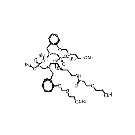 COCCOCOc1ccccc1CN(C[C@H](CCCCNC(=O)CCOCCO)N(Cc1ccccc1OCOCCOC)CP(=O)(OC(C)(C)C)OC(C)(C)C)CP(=O)(OC(C)(C)C)OC(C)(C)C